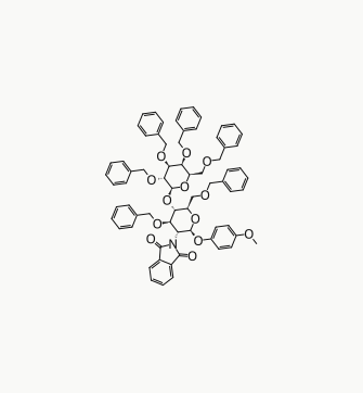 COc1ccc(O[C@@H]2O[C@H](COCc3ccccc3)[C@@H](O[C@@H]3O[C@H](COCc4ccccc4)[C@H](OCc4ccccc4)[C@H](OCc4ccccc4)[C@H]3OCc3ccccc3)[C@H](OCc3ccccc3)[C@H]2N2C(=O)c3ccccc3C2=O)cc1